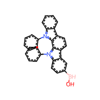 OBc1ccc2c(c1)c1ccc3c4ccccc4n(-c4ccccc4)c3c1n2-c1ccccc1